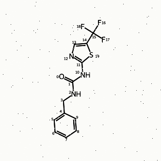 O=C(NCc1ccccc1)Nc1ncc(C(F)(F)F)s1